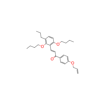 C=CCOc1ccc(C(=O)C=Cc2c(OCCCC)ccc(CCC)c2OCCCC)cc1